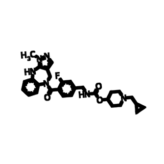 Cn1ncc2c1Nc1ccccc1N(C(=O)c1ccc(CNC(=O)OC3CCN(CC4CC4)CC3)cc1F)C2